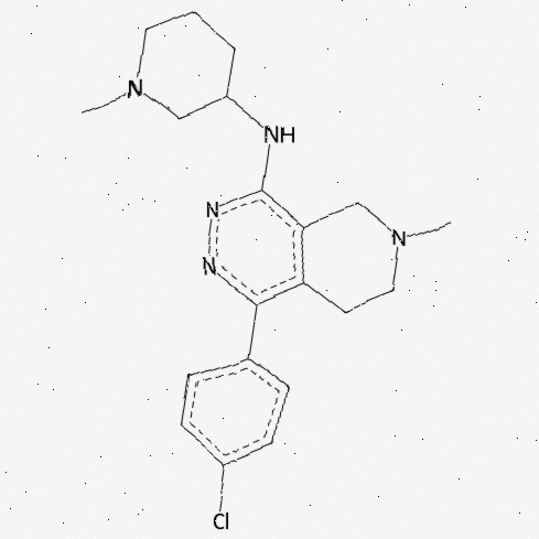 CN1CCc2c(-c3ccc(Cl)cc3)nnc(NC3CCCN(C)C3)c2C1